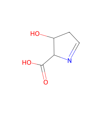 O=C(O)C1N=CCC1O